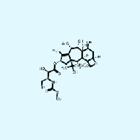 CC(=O)O[C@H]1C2=C(C)[C@@H](OC(=O)[C@H](O)[C@H](CC(C)C)NC(=O)OC(C)(C)C)C[C@@]2(C(C)(C)O)[C@@H](O)[C@@H]2[C@]3(OC(C)=O)CO[C@@H]3C[C@H](O)[C@@]2(C)[C@H]1O